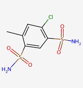 Cc1cc(Cl)c(S(N)(=O)=O)cc1S(N)(=O)=O